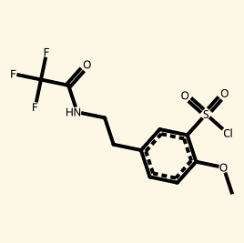 COc1ccc(CCNC(=O)C(F)(F)F)cc1S(=O)(=O)Cl